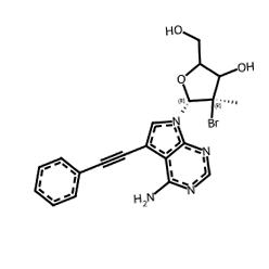 C[C@@]1(Br)C(O)C(CO)O[C@H]1n1cc(C#Cc2ccccc2)c2c(N)ncnc21